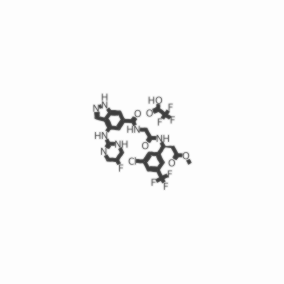 COC(=O)C[C@H](NC(=O)CNC(=O)c1cc(NC2=NCC(F)CN2)c2cn[nH]c2c1)c1cc(Cl)cc(C(F)(F)F)c1.O=C(O)C(F)(F)F